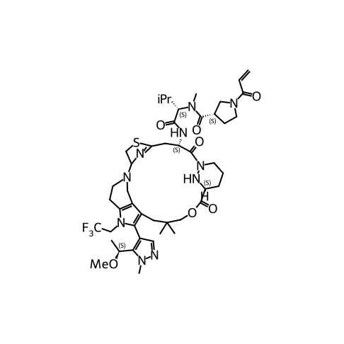 C=CC(=O)N1CC[C@H](C(=O)N(C)[C@H](C(=O)N[C@H]2CC3=NC(CS3)N3CCc4c(c(c(-c5cnn(C)c5[C@H](C)OC)n4CC(F)(F)F)CC(C)(C)COC(=O)[C@@H]4CCCN(N4)C2=O)C3)C(C)C)C1